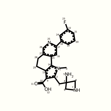 Cn1c(CC2(N)CNC2)c(C(=O)O)c2c1-c1cc(-c3cccc(F)c3)ncc1CC2